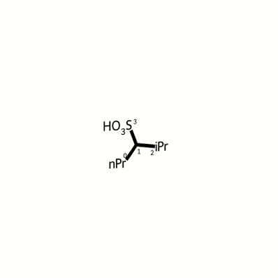 CCCC(C(C)C)S(=O)(=O)O